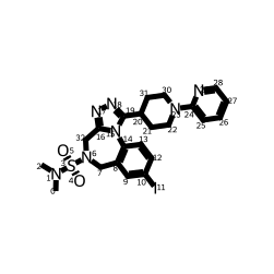 CN(C)S(=O)(=O)N1Cc2cc(I)ccc2-n2c(nnc2C2CCN(c3ccccn3)CC2)C1